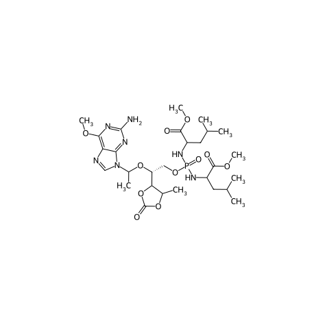 COC(=O)C(CC(C)C)NP(=O)(NC(CC(C)C)C(=O)OC)OC[C@@H](OC(C)n1cnc2c(OC)nc(N)nc21)C1OC(=O)OC1C